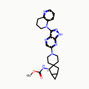 CC(C)(C)OC(=O)N[C@@H]1C2CC2CC12CCN(c1cnc3c(N4CCCc5ncccc54)n[nH]c3n1)CC2